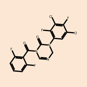 O=C(c1c(F)cccc1F)N1C=NCN(c2cc(Cl)c(F)c(Cl)c2F)C1=O